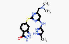 Cc1cc(Nc2cc(CN(C)C)nc(Sc3ccc4c(=O)[nH][nH]c4c3)n2)n[nH]1